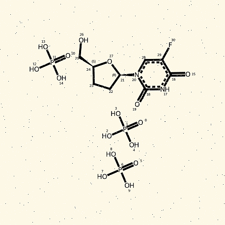 O=P(O)(O)O.O=P(O)(O)O.O=P(O)(O)O.O=c1[nH]c(=O)n([C@H]2CC[C@@H](CO)O2)cc1F